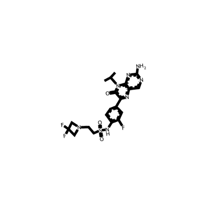 CC(C)n1c(=O)c(-c2ccc(NS(=O)(=O)CCN3CC(F)(F)C3)c(F)c2)nc2cnc(N)nc21